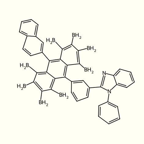 Bc1c(B)c(B)c2c(-c3ccc4ccccc4c3)c3c(B)c(B)c(B)c(B)c3c(-c3cccc(-c4nc5ccccc5n4-c4ccccc4)c3)c2c1B